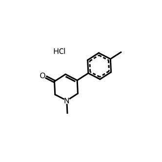 Cc1ccc(C2=CC(=O)CN(C)C2)cc1.Cl